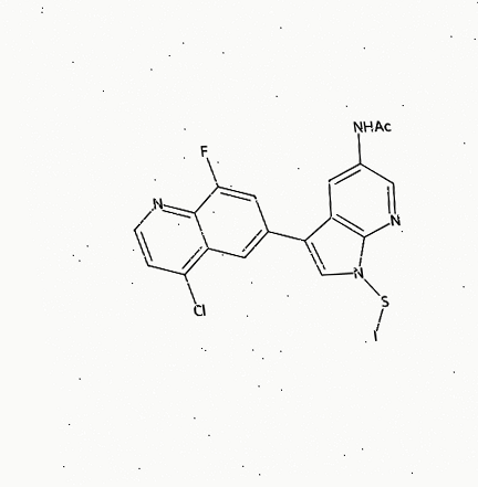 CC(=O)Nc1cnc2c(c1)c(-c1cc(F)c3nccc(Cl)c3c1)cn2SI